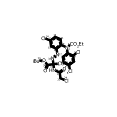 CCOC(=O)N(c1ccc(Cl)cc1Cl)c1ccc(Cl)cc1N=NC(NC(=O)CCl)(C(=O)O)C(=O)OC(C)CC